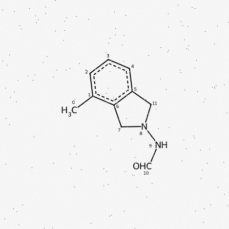 Cc1cccc2c1CN(NC=O)C2